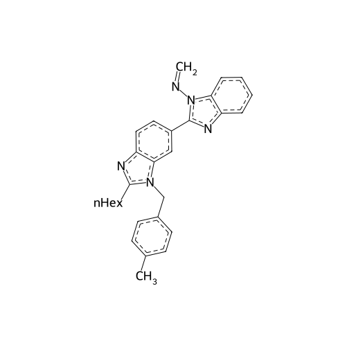 C=Nn1c(-c2ccc3nc(CCCCCC)n(Cc4ccc(C)cc4)c3c2)nc2ccccc21